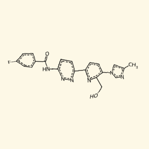 Cc1cn(-c2ccc(-c3ccc(NC(=O)c4ccc(F)cc4)nn3)nc2CO)cn1